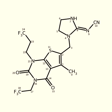 Cc1c(CN2CCNC2=NC#N)sc2c1c(=O)n(CC(F)(F)F)c(=O)n2CCC(F)(F)F